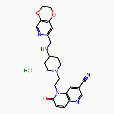 Cl.N#Cc1cnc2ccc(=O)n(CCN3CCC(NCc4cc5c(cn4)OCCO5)CC3)c2c1